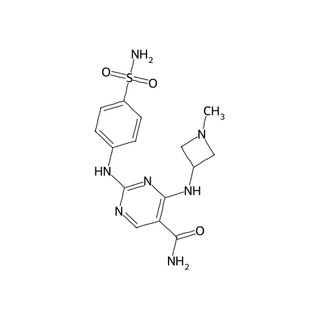 CN1CC(Nc2nc(Nc3ccc(S(N)(=O)=O)cc3)ncc2C(N)=O)C1